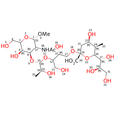 CO[C@H]1OC(CO)[C@H](O)[C@H](O[C@H](OC(CO)[C@H](O)CO[C@]2(C(=O)O)C[C@@H](O)[C@@H](C)C([C@H](O)[C@H](O)CO)O2)[C@H](C)O)C1NC(C)=O